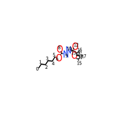 CCCCCCOC(=O)N=NC(=O)O[Si](C)(C)C